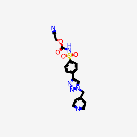 N#CCOC(=O)NS(=O)(=O)c1ccc(-c2cn(Cc3ccncc3)nn2)cc1